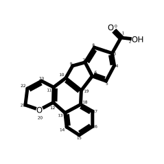 O=C(O)c1ccc2c(c1)Cc1c3c(c4ccccc4c1-2)OCC=C3